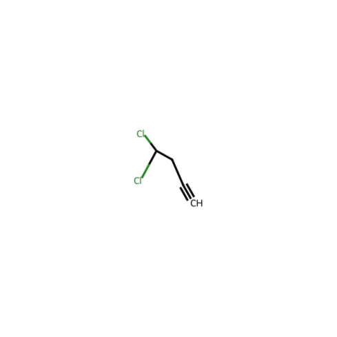 C#CCC(Cl)Cl